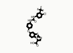 O=C(Nc1ccc(Oc2ccc3c(c2)sc2ncc(C(=O)O)n23)cc1)Nc1ccc(Cl)c(C(F)(F)F)c1